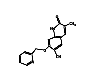 Cc1cc2cc(C#N)c(OCc3ccccn3)cc2[nH]c1=O